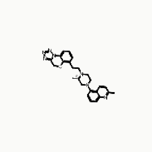 Cc1ccc2c(N3CCN(CCc4cccc5c4OCc4nnnn4-5)[C@H](C)C3)cccc2n1